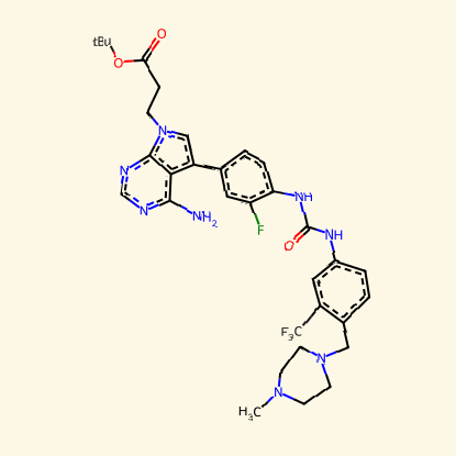 CN1CCN(Cc2ccc(NC(=O)Nc3ccc(-c4cn(CCC(=O)OC(C)(C)C)c5ncnc(N)c45)cc3F)cc2C(F)(F)F)CC1